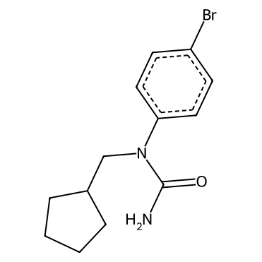 NC(=O)N(CC1CCCC1)c1ccc(Br)cc1